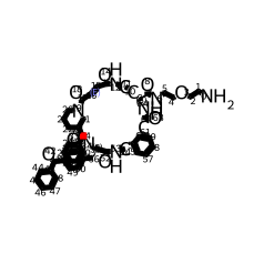 NCCOCCNC(=O)[C@@H]1CCNC(=O)/C=C/C(=O)N2CCC[C@](Cc3ccccc3)(C2)C(=O)N[C@@H](Cc2ccc(C(=O)c3ccccc3)cc2)C(=O)NCc2ccccc2CC(=O)N1